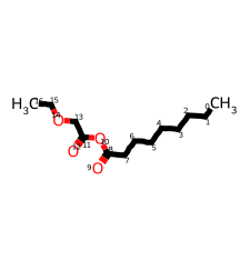 CCCCCCCCC(=O)OC(=O)COCC